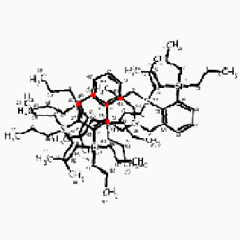 CCC[Si](CCC)(CCC)c1cccc([CH2][Cr]([CH2]c2cccc([Si](CCC)(CCC)CCC)c2[Si](CCC)(CCC)CCC)[CH2]c2cccc([Si](CCC)(CCC)CCC)c2[Si](CCC)(CCC)CCC)c1[Si](CCC)(CCC)CCC